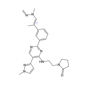 C=NN(C)/C=C(\C)c1cccc(-c2ncc(-c3ccn(C)n3)c(NCCN3CCCC3=O)n2)c1